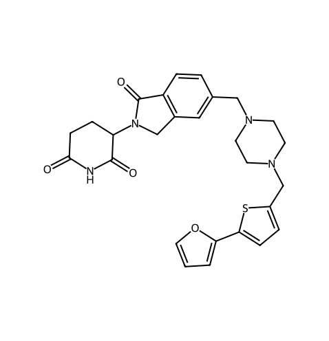 O=C1CCC(N2Cc3cc(CN4CCN(Cc5ccc(-c6ccco6)s5)CC4)ccc3C2=O)C(=O)N1